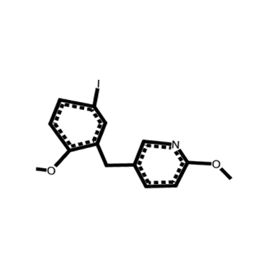 COc1ccc(Cc2cc(I)ccc2OC)cn1